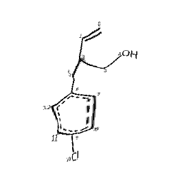 C=CC(CO)Cc1ccc(Cl)cc1